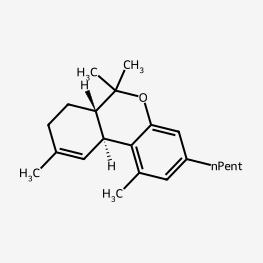 CCCCCc1cc(C)c2c(c1)OC(C)(C)[C@H]1CCC(C)=C[C@H]21